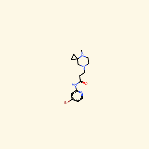 CN1CCN(CCC(=O)Nc2cc(Br)ccn2)CC12CC2